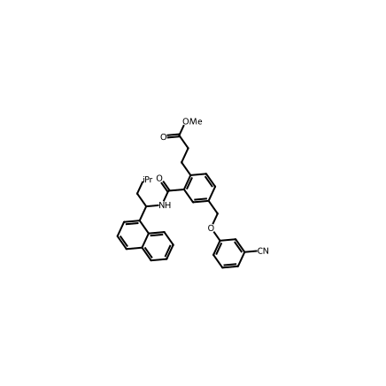 COC(=O)CCc1ccc(COc2cccc(C#N)c2)cc1C(=O)NC(CC(C)C)c1cccc2ccccc12